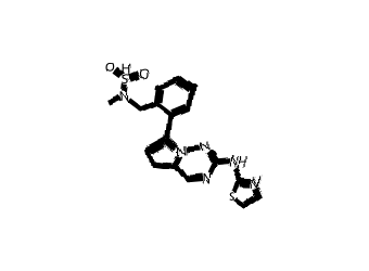 CN(Cc1ccccc1-c1ccc2cnc(Nc3nccs3)nn12)[SH](=O)=O